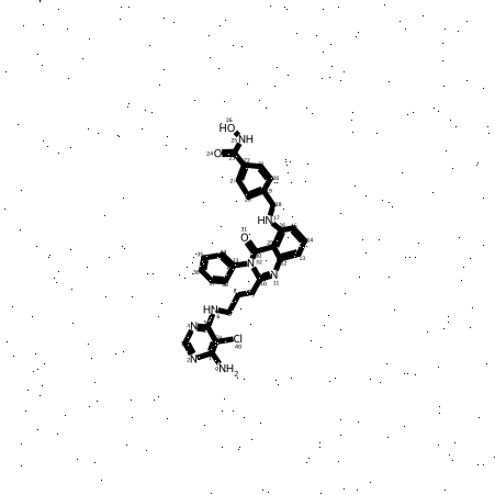 Nc1ncnc(NCCCc2nc3cccc(NCc4ccc(C(=O)NO)cc4)c3c(=O)n2-c2ccccc2)c1Cl